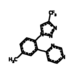 Cc1ccc(-n2cc(C(F)(F)F)nn2)c(-c2ccncn2)c1